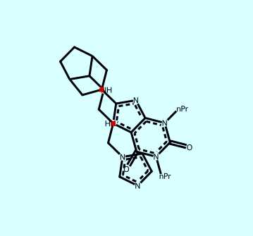 CCCn1c(=O)c2[nH]c(C3CC4CCC(C3)C4NCCCn3ccnc3)nc2n(CCC)c1=O